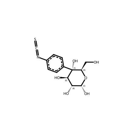 OC[C@H]1O[C@H](O)[C@H](O)[C@@H](O)[C@@]1(O)c1ccc(N=C=S)cc1